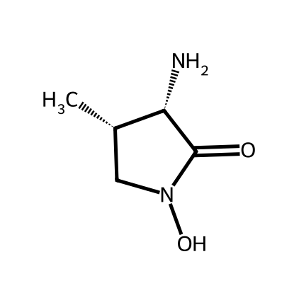 C[C@H]1CN(O)C(=O)[C@H]1N